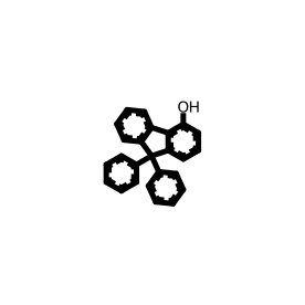 Oc1cccc2c1-c1ccccc1C2(c1ccccc1)c1ccccc1